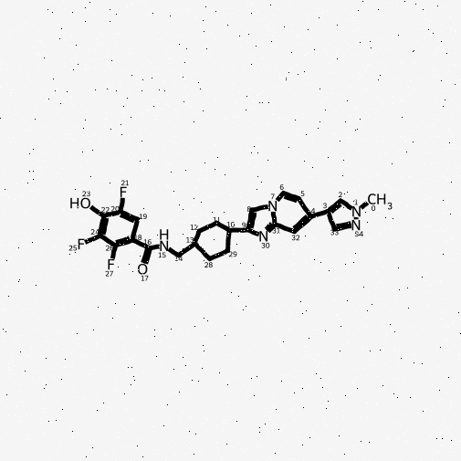 Cn1cc(-c2ccn3cc(C4CCC(CNC(=O)c5cc(F)c(O)c(F)c5F)CC4)nc3c2)cn1